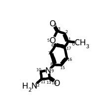 Cc1cc(=O)oc2cc(N3CC(N)C3=O)ccc12